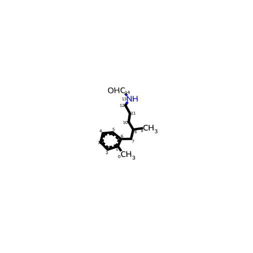 Cc1ccccc1CC(C)CCCNC=O